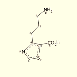 NCCCc1ncsc1C(=O)O